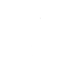 [CH2]CC1C=CC2CC2C1